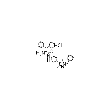 Cc1nn(Cc2ccccc2)c(C)c1-c1ccc(NC(=O)[C@@H](N)C(c2ccccc2)c2ccccc2)cc1.Cl